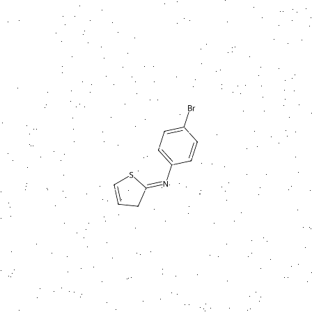 Brc1ccc(N=C2CC=CS2)cc1